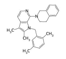 Cc1ccc(C)c(Cn2c(C)c(C)c3ccnc(N4CCc5ccccc5C4)c32)c1